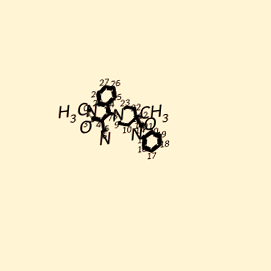 Cn1c(=O)c(C#N)c(N2CCC(C)(c3nc4ccccc4o3)CC2)c2ccccc21